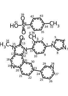 Cc1cc(-n2ccnc2)ccc1-n1c(=O)n(C)c2cnc3ccc(-c4cccnc4)cc3c21.Cc1ccc(S(=O)(=O)O)cc1